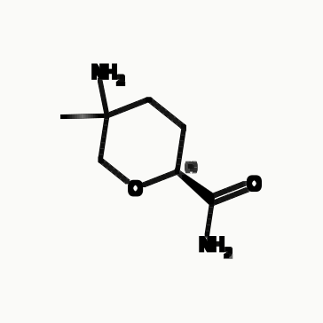 CC1(N)CC[C@@H](C(N)=O)OC1